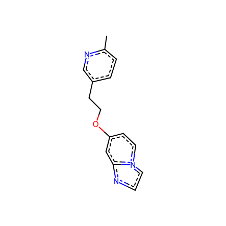 Cc1ccc(CCOc2ccn3ccnc3c2)cn1